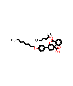 CCCCCCCCOc1ccc(C2C=CC(C(=O)O)(c3ccccc3C(=O)OC(C)CCCC)C=C2)cc1